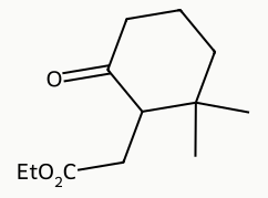 CCOC(=O)CC1C(=O)CCCC1(C)C